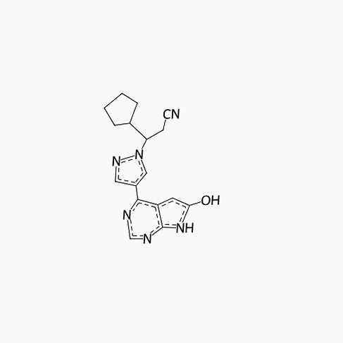 N#CCC(C1CCCC1)n1cc(-c2ncnc3[nH]c(O)cc23)cn1